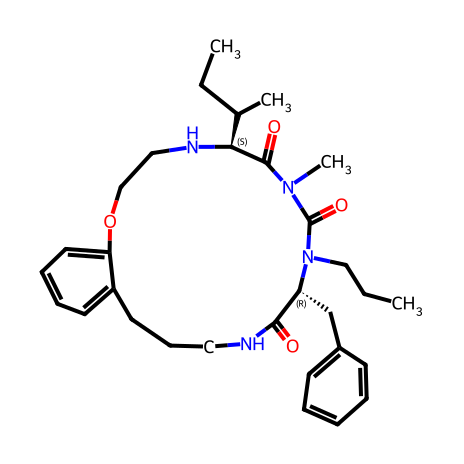 CCCN1C(=O)N(C)C(=O)[C@H](C(C)CC)NCCOc2ccccc2CCCNC(=O)[C@H]1Cc1ccccc1